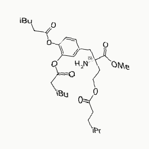 CCC(C)CC(=O)Oc1ccc(C[C@](N)(CCOC(=O)CCC(C)C)C(=O)OC)cc1OC(=O)CC(C)CC